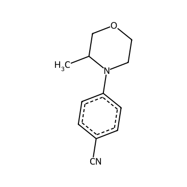 CC1COCCN1c1ccc(C#N)cc1